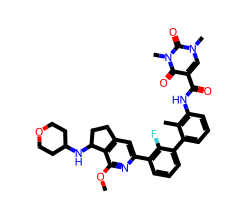 COc1nc(-c2cccc(-c3cccc(NC(=O)c4cn(C)c(=O)n(C)c4=O)c3C)c2F)cc2c1C(NC1CCOCC1)CC2